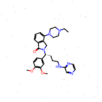 CCN1CCN(c2cccc3c2CN([C@H](CCCNc2cnccn2)c2ccc(OC)c(OC)c2)C3=O)CC1